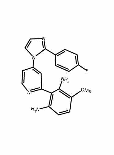 COc1ccc(N)c(-c2cc(-n3ccnc3-c3ccc(F)cc3)ccn2)c1N